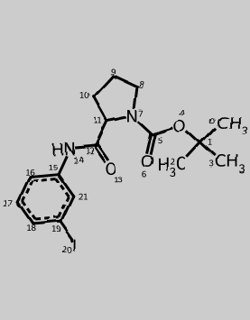 CC(C)(C)OC(=O)N1CCCC1C(=O)Nc1cccc(I)c1